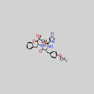 COc1ccc(C[C@H](NC(=O)c2c[nH]cn2)C(=O)N[C@@H](Cc2ccccc2)C(=O)[C@@]2(C)CO2)cc1